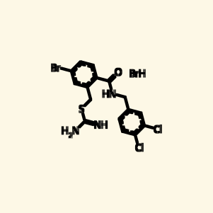 Br.N=C(N)SCc1cc(Br)ccc1C(=O)NCc1ccc(Cl)c(Cl)c1